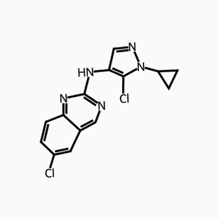 Clc1ccc2nc(Nc3cnn(C4CC4)c3Cl)ncc2c1